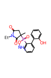 CCN1C(=O)CC(C)(P(=O)(ON)c2ccccc2-c2ccccc2O)C1=O